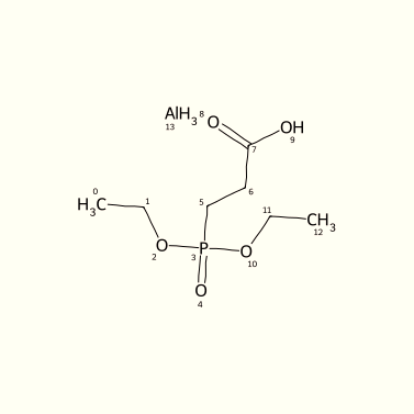 CCOP(=O)(CCC(=O)O)OCC.[AlH3]